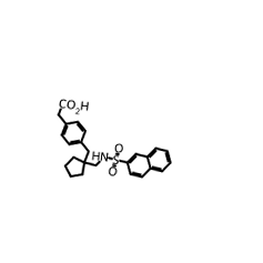 O=C(O)Cc1ccc(CC2(CNS(=O)(=O)c3ccc4ccccc4c3)CCCC2)cc1